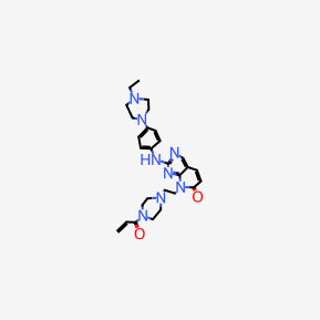 C=CC(=O)N1CCN(CCn2c(=O)ccc3cnc(Nc4ccc(N5CCN(CC)CC5)cc4)nc32)CC1